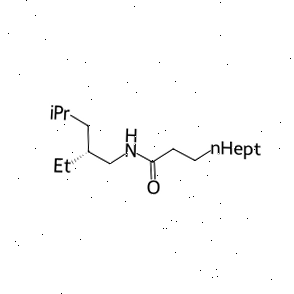 CCCCCCCCCC(=O)NC[C@H](CC)CC(C)C